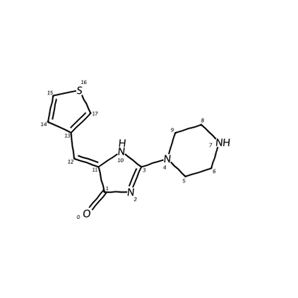 O=C1N=C(N2CCNCC2)NC1=Cc1ccsc1